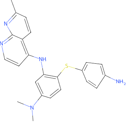 Cc1ccc2c(Nc3cc(N(C)C)ccc3Sc3ccc(N)cc3)ccnc2n1